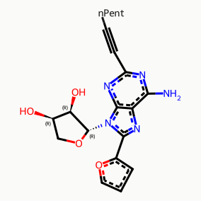 CCCCCC#Cc1nc(N)c2nc(-c3ccco3)n([C@@H]3OC[C@@H](O)[C@H]3O)c2n1